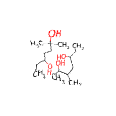 CCC(O)CC(C)C(C)O.CCC(O)CCC(C)(C)O